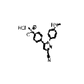 CNc1ccc(-n2nc(C#N)cc2-c2ccc(S(C)(=O)=O)cc2)cc1.Cl